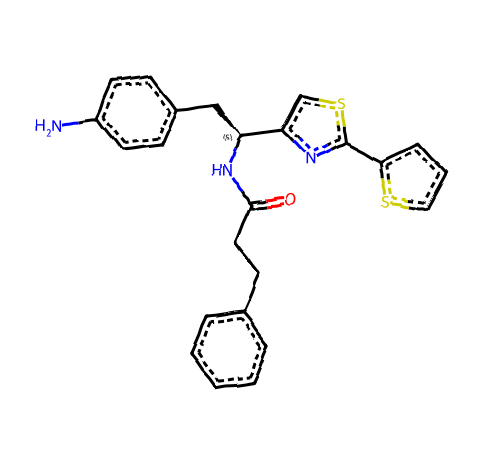 Nc1ccc(C[C@H](NC(=O)CCc2ccccc2)c2csc(-c3cccs3)n2)cc1